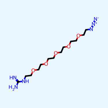 [N-]=[N+]=NCCOCCOCCOCCOCCOCCNC(=N)N